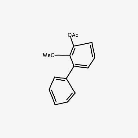 COc1c(OC(C)=O)cccc1-c1ccccc1